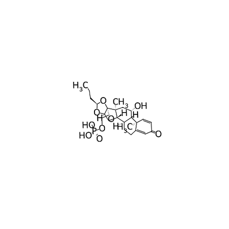 CCC[C@@H]1O[C@@H]2C[C@H]3[C@@H]4CCC5=CC(=O)C=C[C@]5(C)[C@H]4[C@@H](O)C[C@]3(C)[C@]2(C(=O)COP(=O)(O)O)O1